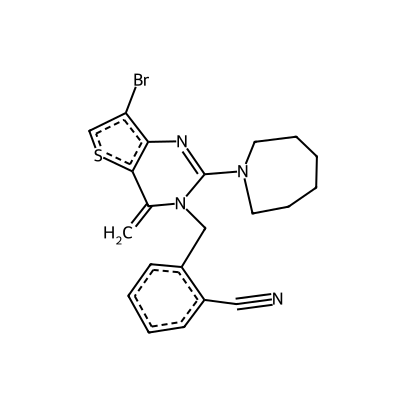 C=C1c2scc(Br)c2N=C(N2CCCCCC2)N1Cc1ccccc1C#N